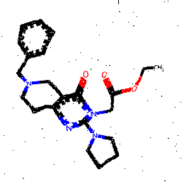 CCOC(=O)Cn1c(N2CCCC2)nc2c(c1=O)CN(Cc1ccccc1)CC2